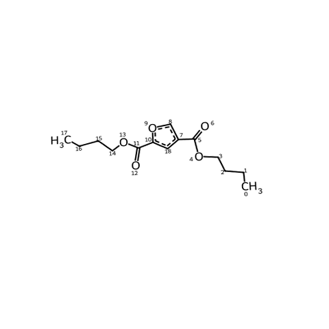 CCCCOC(=O)c1coc(C(=O)OCCCC)c1